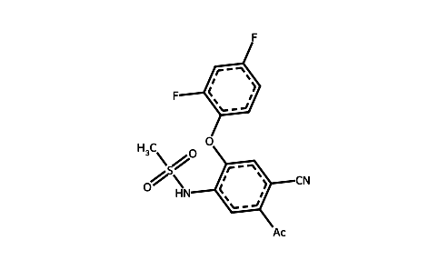 CC(=O)c1cc(NS(C)(=O)=O)c(Oc2ccc(F)cc2F)cc1C#N